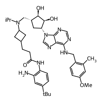 COc1ccc(CNc2ncnc3c2ncn3[C@@H]2C[C@H](CN(C(C)C)C3CC(CCC(=O)Nc4ccc(C(C)(C)C)cc4N)C3)[C@@H](O)[C@H]2O)c(C)c1